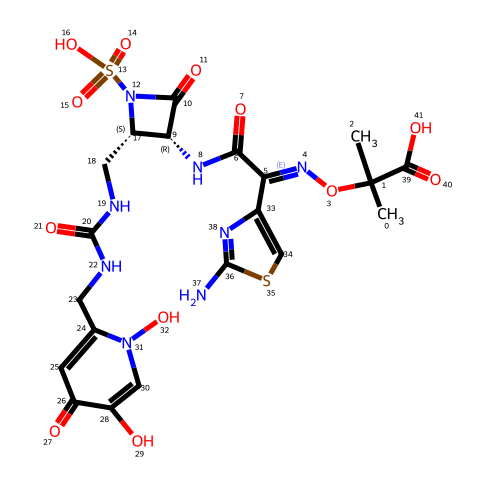 CC(C)(O/N=C(/C(=O)N[C@H]1C(=O)N(S(=O)(=O)O)[C@H]1CNC(=O)NCc1cc(=O)c(O)cn1O)c1csc(N)n1)C(=O)O